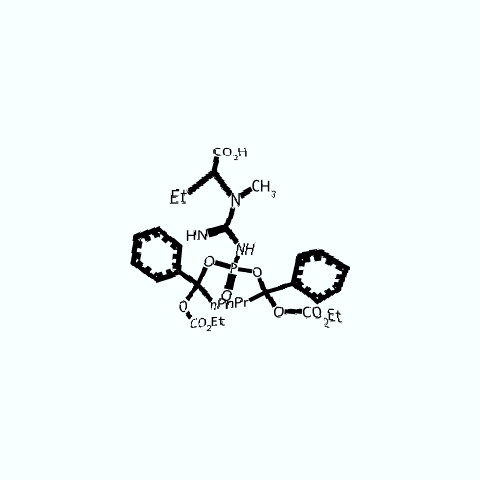 CCCC(OC(=O)OCC)(OP(=O)(NC(=N)N(C)C(CC)C(=O)O)OC(CCC)(OC(=O)OCC)c1ccccc1)c1ccccc1